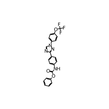 O=C(Nc1ccc(-c2ncn(-c3ccc(OC(F)(F)F)cc3)n2)cc1)Oc1ccccc1